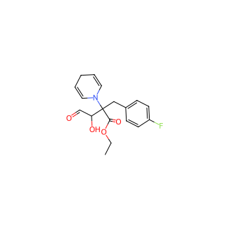 CCOC(=O)C(Cc1ccc(F)cc1)(C(O)C=O)N1C=CCC=C1